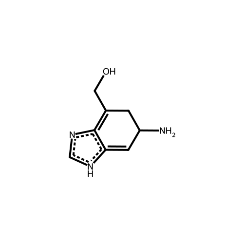 NC1C=c2[nH]cnc2=C(CO)C1